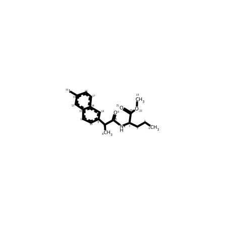 CCCC(NC(=O)C(C)c1ccc2cc(I)ccc2c1)C(=O)OC